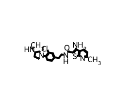 CN[C@H]1CCN(c2ccc(CCNC(=O)c3sc4nc(C)ccc4c3N)cc2Cl)C1